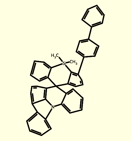 C[Si]1(C)c2ccccc2C2(c3ccccc3-n3c4ccccc4c4cccc2c43)c2cccc(-c3ccc(-c4ccccc4)cc3)c21